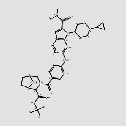 CN(C)C(=O)c1cc2cnc(Nc3ccc(C(=O)N4CC5CCC(N5)C4C(=O)OC(C)(C)C)cn3)nc2n1C1CCN(C2CC2)CC1